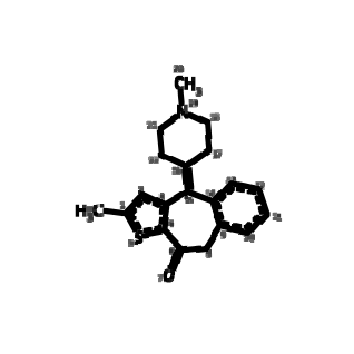 Cc1cc2c(s1)C(=O)Cc1ccccc1C2=C1CCN(C)CC1